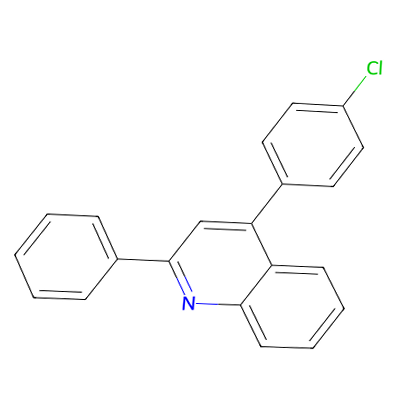 Clc1ccc(-c2cc(-c3ccccc3)nc3ccccc23)cc1